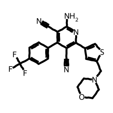 N#Cc1c(N)nc(-c2csc(CN3CCOCC3)c2)c(C#N)c1-c1ccc(C(F)(F)F)cc1